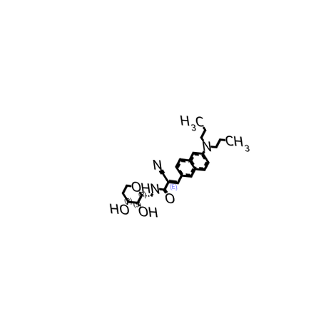 CCCN(CCC)c1ccc2cc(/C=C(\C#N)C(=O)NC[C@H]3OCC[C@@H](O)[C@@H]3O)ccc2c1